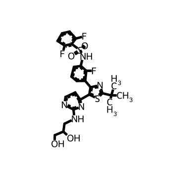 CC(C)(C)c1nc(-c2cccc(NS(=O)(=O)c3c(F)cccc3F)c2F)c(-c2ccnc(NCC(O)CO)n2)s1